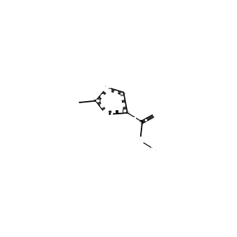 Cl.NNC(=O)c1cnc(Br)s1